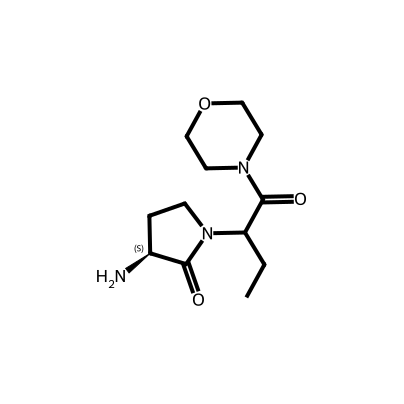 CCC(C(=O)N1CCOCC1)N1CC[C@H](N)C1=O